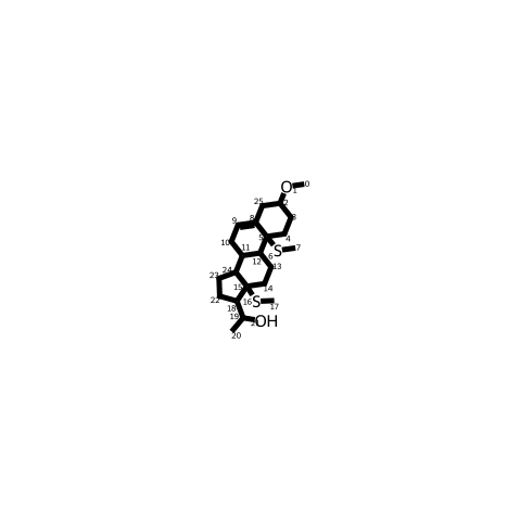 COC1CCC2(SC)C(=CCC3C2CCC2(SC)C(C(C)O)CCC32)C1